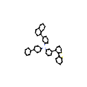 c1ccc(-c2ccc(N(c3cccc(-c4cccc5ccccc45)c3)c3cccc(-c4cccc5sc6ccccc6c45)c3)cc2)cc1